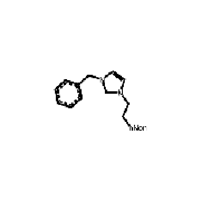 CCCCCCCCCCCN1C=CN(Cc2ccccc2)C1